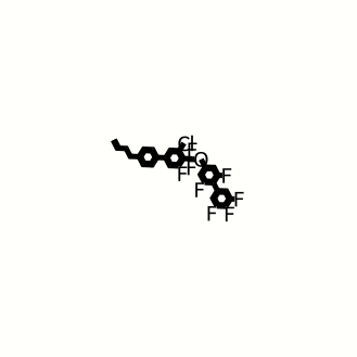 C=CCCc1ccc(-c2cc(F)c(C(F)(F)Oc3cc(F)c(-c4cc(F)c(F)c(F)c4)c(F)c3)c(Cl)c2)cc1